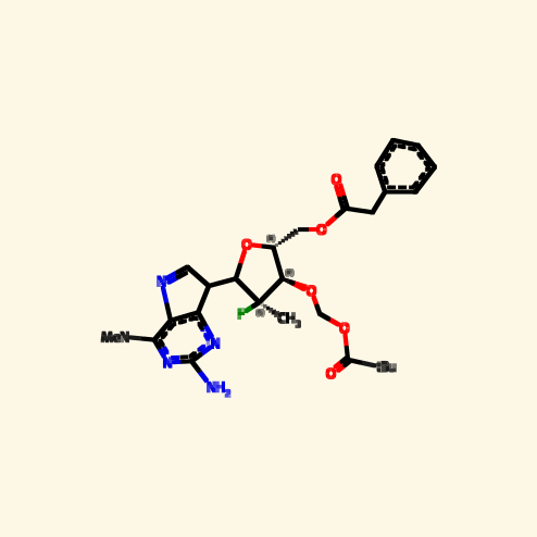 CNc1nc(N)nc2c1N=CC2C1O[C@H](COC(=O)Cc2ccccc2)[C@@H](OCOC(=O)C(C)(C)C)[C@@]1(C)F